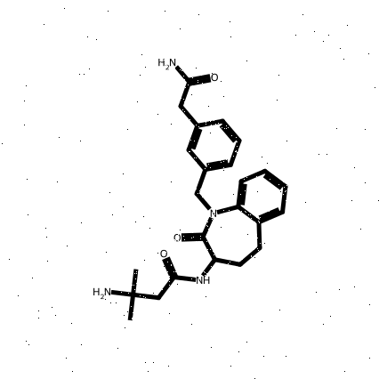 CC(C)(N)CC(=O)NC1CCc2ccccc2N(Cc2cccc(CC(N)=O)c2)C1=O